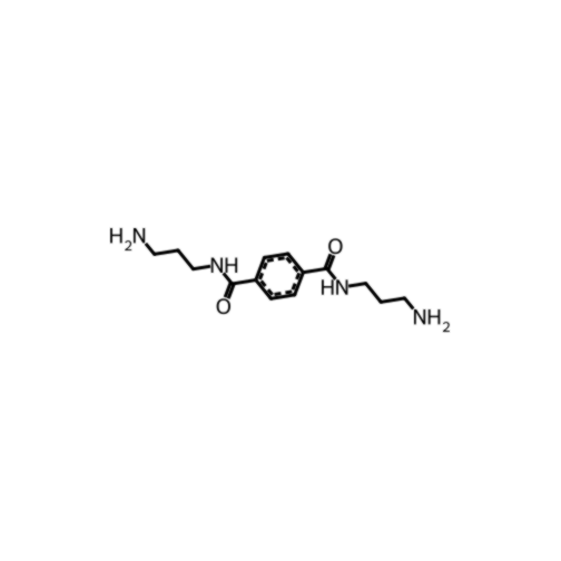 NCCCNC(=O)c1ccc(C(=O)NCCCN)cc1